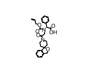 C=CCOC(=O)N(CC(=O)N1CCC2(CC1)OCc1ccccc12)[C@@H](C(=O)O)c1ccccc1